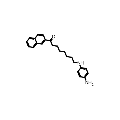 Nc1ccc(NCCCCCCCC(=O)c2ccc3ccccc3c2)cc1